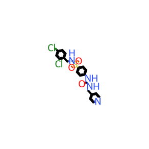 O=C(NCc1ccncc1)Nc1ccc(S(=O)(=O)NCc2ccc(Cl)cc2Cl)cc1